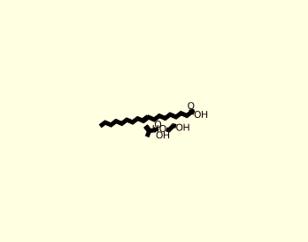 C=C(C)C(=O)O.CCCCCCCCC=CCCCCCCCC(=O)O.OCCO